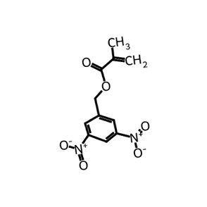 C=C(C)C(=O)OCc1cc([N+](=O)[O-])cc([N+](=O)[O-])c1